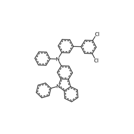 Clc1cc(Cl)cc(-c2cccc(N(c3ccccc3)c3ccc4c5ccccc5n(-c5ccccc5)c4c3)c2)c1